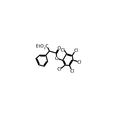 CCOC(=O)C(C(=O)Oc1c(Cl)c(Cl)c(Cl)c(Cl)c1Cl)c1ccccc1